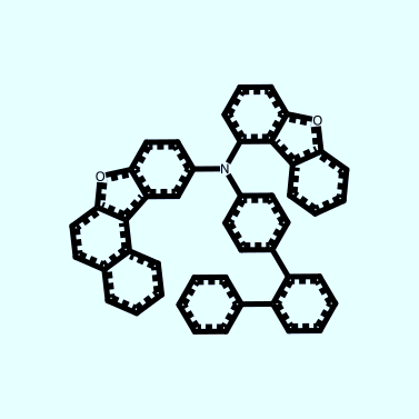 c1ccc(-c2ccccc2-c2ccc(N(c3ccc4oc5ccc6ccccc6c5c4c3)c3cccc4oc5ccccc5c34)cc2)cc1